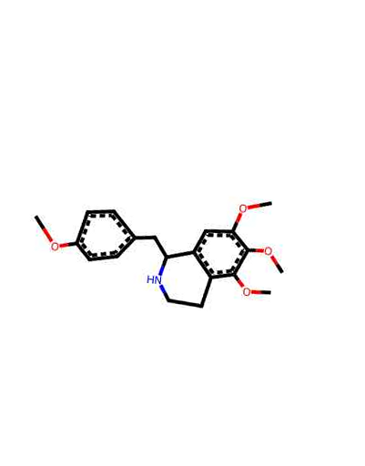 COc1ccc(CC2NCCc3c2cc(OC)c(OC)c3OC)cc1